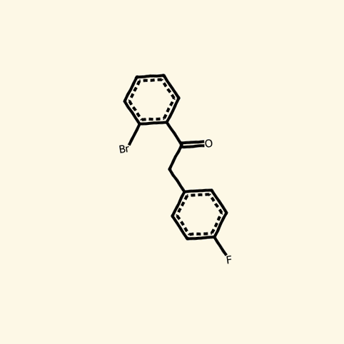 O=C(Cc1ccc(F)cc1)c1ccccc1Br